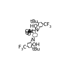 CC(=O)[O-].CC(=O)[O-].CC(C)(C)c1cc(C(F)(F)F)cc(C=NC2CCC(N=Cc3cc(C(F)(F)F)cc(C(C)(C)C)c3O)CC2)c1O.[Co+2]